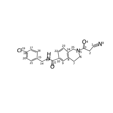 N#CCC(=O)N1CCc2cc(C(=O)NCc3ccc(Cl)cc3)ccc2C1